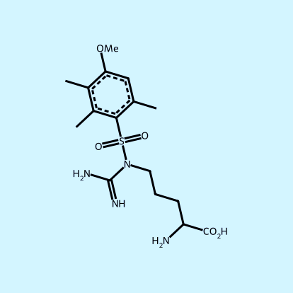 COc1cc(C)c(S(=O)(=O)N(CCCC(N)C(=O)O)C(=N)N)c(C)c1C